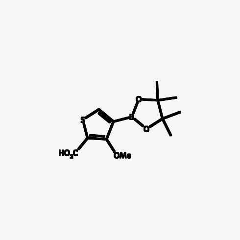 COc1c(B2OC(C)(C)C(C)(C)O2)csc1C(=O)O